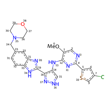 COc1cnc(-c2cc(Cl)cs2)nc1Nc1c[nH]nc1-c1nc2cc(CN3CCOCC3)ccc2[nH]1